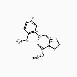 CC(C)(C)OC(=O)N1CCC[C@@H]1COc1cnccc1CN